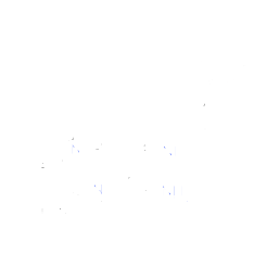 COC(=O)C1CC(N/C=C(\CN)c2cnc3ccccc3n2)C1